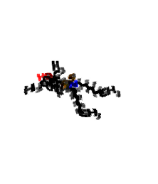 CCCCCCCCN(CCCCCCCC)C(=S)SCc1c(C)cc(C(C)(C)C)c(O)c1C